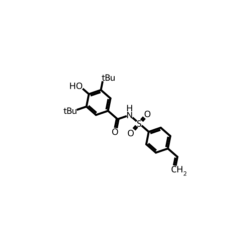 C=Cc1ccc(S(=O)(=O)NC(=O)c2cc(C(C)(C)C)c(O)c(C(C)(C)C)c2)cc1